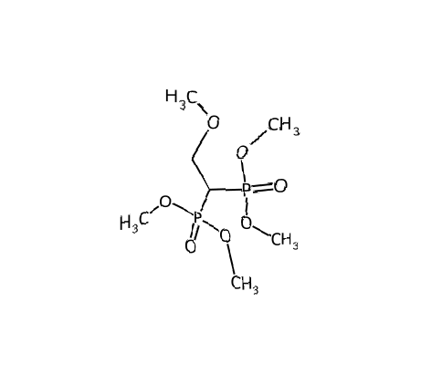 COCC(P(=O)(OC)OC)P(=O)(OC)OC